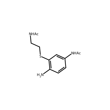 CC(=O)NCCSc1cc(NC(C)=O)ccc1N